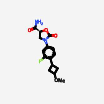 COC1CC(c2ccc(N3C[C@H](C(N)=O)OC3=O)cc2F)C1